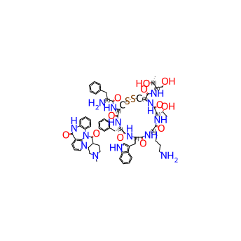 CC(O)[C@@H]1NC(=O)[C@H](CCCCN)NC(=O)[C@@H](Cc2c[nH]c3ccccc23)NC(=O)[C@H](Cc2ccccc2)NC(=O)[C@@H](NC(=O)[C@H](N)Cc2ccccc2)CSSC[C@@H](C(=O)N[C@H](CO)[C@@H](C)O)NC1=O.CN1CCC(C(=O)N2c3ccccc3NC(=O)c3cccnc32)CC1